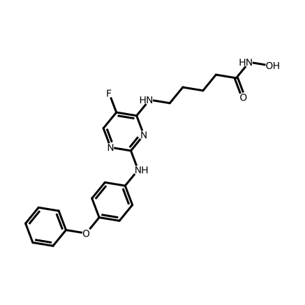 O=C(CCCCNc1nc(Nc2ccc(Oc3ccccc3)cc2)ncc1F)NO